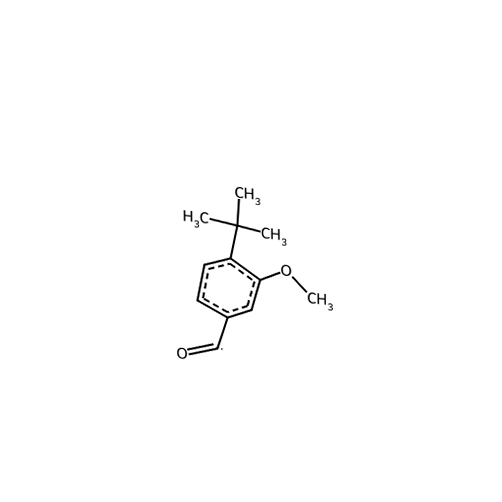 COc1cc([C]=O)ccc1C(C)(C)C